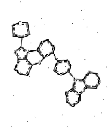 c1ccc(-c2nc3cccc4c3n2-c2cccc(-c3ccc(-n5c6ccccc6c6ccccc65)cc3)c2S4)cc1